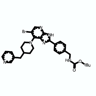 CC(C)(C)OC(=O)NCc1ccc(-c2nc3c(N4CCC(Cc5cccnc5)CC4)c(Br)cnc3[nH]2)cc1